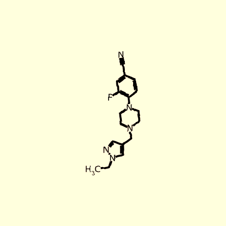 CCn1cc(CN2CCN(c3ccc(C#N)cc3F)CC2)cn1